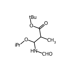 CC(C)OC(NC=O)C(C)C(=O)OC(C)(C)C